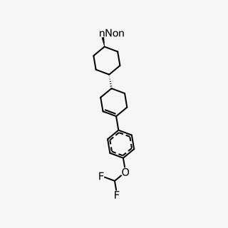 CCCCCCCCC[C@H]1CC[C@H](C2CC=C(c3ccc(OC(F)F)cc3)CC2)CC1